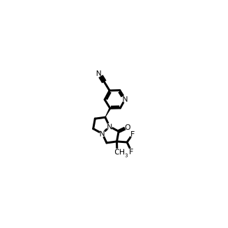 CC1(C(F)F)CN2CC[C@@H](c3cncc(C#N)c3)N2C1=O